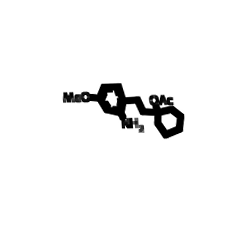 COc1ccc(CCC2(OC(C)=O)CCCCC2)c(N)c1